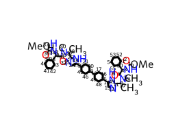 COC(=O)N[C@@H](C(=O)N(C)[C@@H](C)c1ncc(-c2ccc(-c3ccc(-c4cnc([C@H](C)N(C)C(=O)[C@H](NC(=O)OC)c5ccccc5)[nH]4)cc3)cc2)[nH]1)c1ccccc1